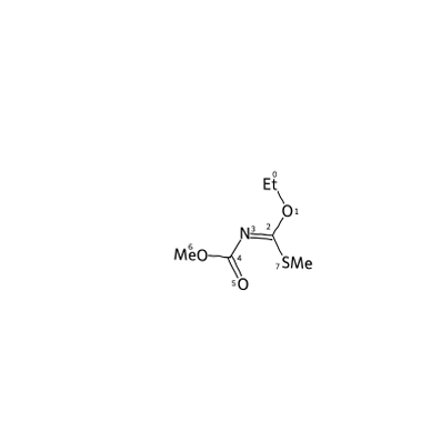 CCOC(=NC(=O)OC)SC